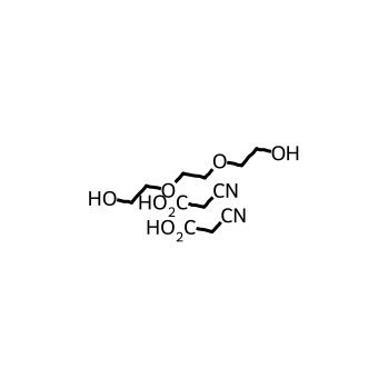 N#CCC(=O)O.N#CCC(=O)O.OCCOCCOCCO